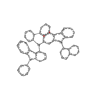 c1ccc(-c2ccccc2N(c2ccc3c4ccccc4n(-c4cccc5ccccc45)c3c2)c2cccc3c2c2ccccc2n3-c2ccccc2)cc1